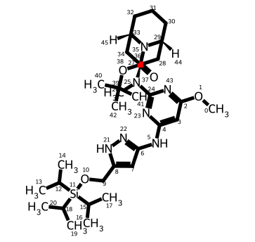 COc1cc(Nc2cc(CO[Si](C(C)C)(C(C)C)C(C)C)[nH]n2)nc(N(C)[C@@H]2C[C@H]3CCC[C@@H](C2)N3C(=O)OC(C)(C)C)n1